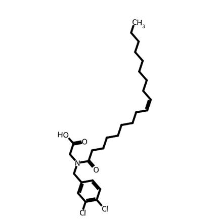 CCCCCCCC/C=C\CCCCCCCC(=O)N(CC(=O)O)Cc1ccc(Cl)c(Cl)c1